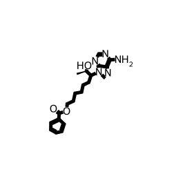 C[C@@H](O)C(CCCCCCOC(=O)c1ccccc1)n1cnc2c(N)ncnc21